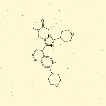 C[C@H]1C(=O)N(C)Cc2c(-c3cccc4cc(C5CCOCC5)ncc34)nc(C3CCOCC3)n21